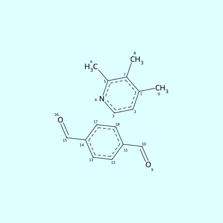 Cc1ccnc(C)c1C.O=Cc1ccc(C=O)cc1